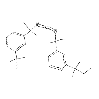 CCC(C)(C)c1cccc(C(C)(C)N=C=NC(C)(C)c2cccc(C(C)(C)C)c2)c1